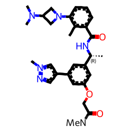 CNC(=O)COc1cc(-c2cnn(C)c2)cc([C@@H](C)NC(=O)c2cccc(N3CC(N(C)C)C3)c2C)c1